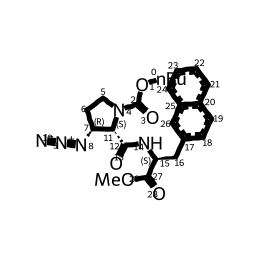 CCCCOC(=O)N1CC[C@@H](N=[N+]=[N-])[C@H]1C(=O)N[C@@H](Cc1ccc2ccccc2c1)C(=O)OC